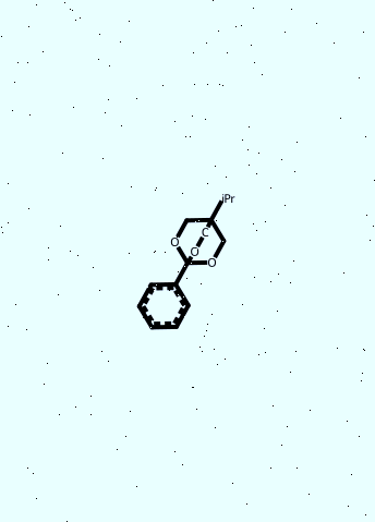 CC(C)C12COC(c3ccccc3)(OC1)OC2